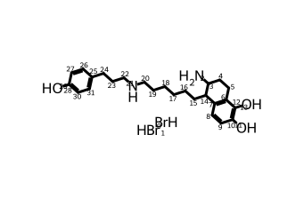 Br.Br.NC1CCc2c(ccc(O)c2O)C1CCCCCCNCCCc1ccc(O)cc1